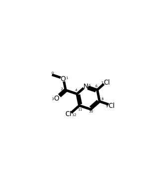 COC(=O)c1nc(Cl)c(Cl)cc1Cl